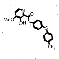 COc1ccnc(C(=O)Nc2ccc(Sc3ccc(C(F)(F)F)cc3)cc2)c1O